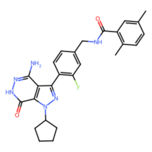 Cc1ccc(C)c(C(=O)NCc2ccc(-c3nn(C4CCCC4)c4c(=O)[nH]nc(N)c34)c(F)c2)c1